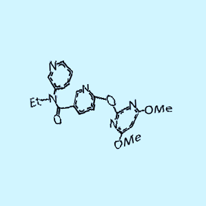 CCN(C(=O)c1ccc(Oc2nc(OC)cc(OC)n2)nc1)c1cccnc1